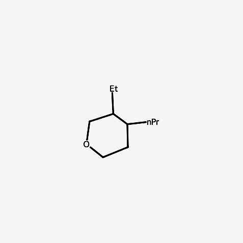 CCCC1CCOCC1CC